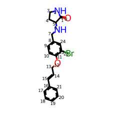 O=C1NCCC1NCc1ccc(OCC=Cc2ccccc2)c(Br)c1